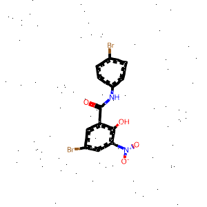 O=C(Nc1ccc(Br)cc1)c1cc(Br)cc([N+](=O)[O-])c1O